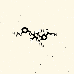 C#CC(=O)c1ccc(C)c(-n2c(C)nc(OCc3cccc(OC)c3)c(Cl)c2=O)c1